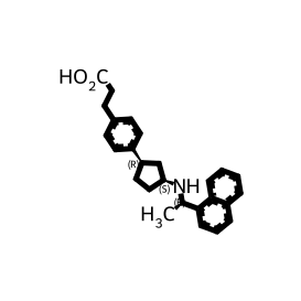 C[C@@H](N[C@H]1CC[C@@H](c2ccc(CCC(=O)O)cc2)C1)c1cccc2ccccc12